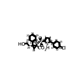 O=C(O)[C@@]1(NS(=O)(=O)c2ccc(-c3ccc(Cl)cc3)s2)C[C@@]1(CCO)c1ccccc1